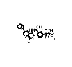 Cc1nnc(N[C@H](C)c2cccc(C(F)(F)C(C)(C)O)c2)c2cc(N3CC4CC3CO4)cnc12